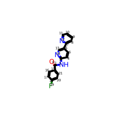 O=C(Nc1ccc(-c2ccccn2)cn1)c1ccc(F)cc1